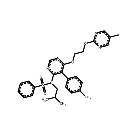 Cc1ccc(-c2c(OCCOc3ncc(I)cn3)ncnc2N(CC(C)C)S(=O)(=O)c2ccccc2)cc1